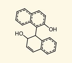 Oc1ccc2ccccc2c1C1c2ccccc2C=CC1O